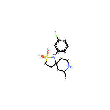 CC1CC2(CCN1)CCS(=O)(=O)N2c1cccc(F)c1